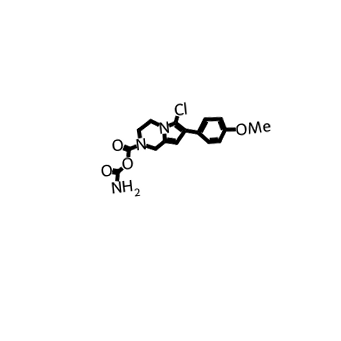 COc1ccc(-c2cc3n(c2Cl)CCN(C(=O)OC(N)=O)C3)cc1